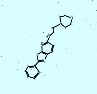 c1ccc(-c2nc3ccc(NCCN4CCOCC4)nc3s2)cc1